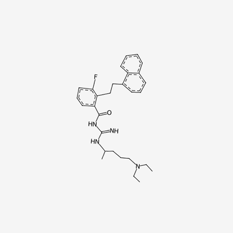 CCN(CC)CCCC(C)NC(=N)NC(=O)c1cccc(F)c1CCc1cccc2ccccc12